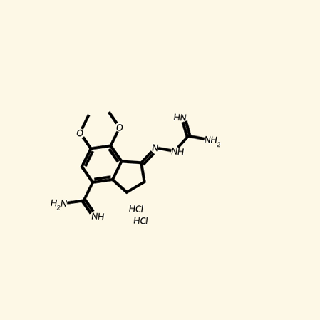 COc1cc(C(=N)N)c2c(c1OC)C(=NNC(=N)N)CC2.Cl.Cl